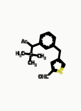 CC(=O)C(c1cccc(Cc2csc(C=O)c2)c1)[Si](C)(C)C